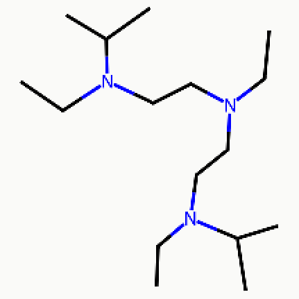 CCN(CCN(CC)C(C)C)CCN(CC)C(C)C